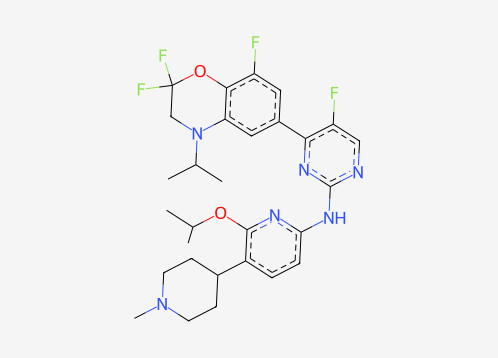 CC(C)Oc1nc(Nc2ncc(F)c(-c3cc(F)c4c(c3)N(C(C)C)CC(F)(F)O4)n2)ccc1C1CCN(C)CC1